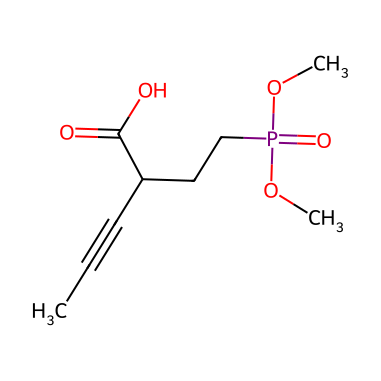 CC#CC(CCP(=O)(OC)OC)C(=O)O